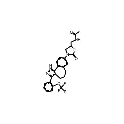 CC(=O)NCC1CN(c2ccc3c(c2)CCCc2c(-c4ccccc4OC(F)(F)F)n[nH]c2-3)C(=O)O1